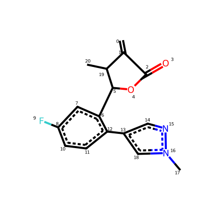 C=C1C(=O)OC(c2cc(F)ccc2-c2cnn(C)c2)C1C